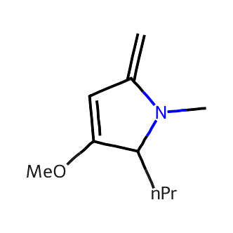 C=C1C=C(OC)C(CCC)N1C